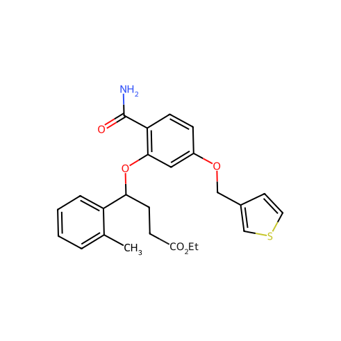 CCOC(=O)CCC(Oc1cc(OCc2ccsc2)ccc1C(N)=O)c1ccccc1C